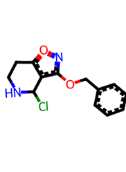 ClC1NCCc2onc(OCc3ccccc3)c21